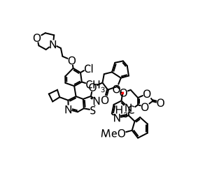 COc1ccccc1-c1nccc(COc2ccccc2CC(Oc2nsc3cnc(C4CCC4)c(-c4ccc(OCCN5CCOCC5)c(Cl)c4C)c23)C(=O)COCc2oc(=O)oc2C)n1